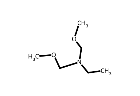 CCN(COC)COC